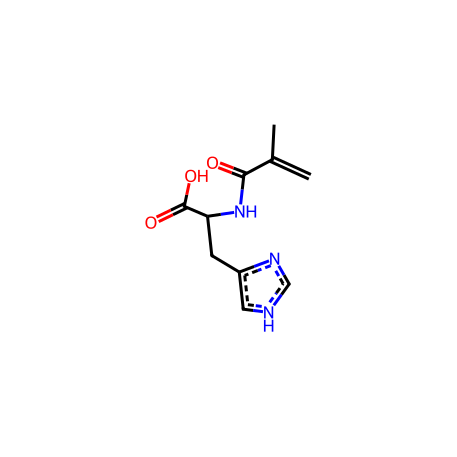 C=C(C)C(=O)NC(Cc1c[nH]cn1)C(=O)O